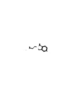 COC(=O)CCN1Cc2cc(O)ccc2C1=O